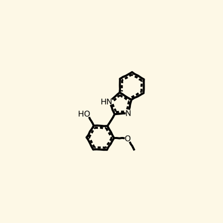 COc1cccc(O)c1-c1nc2ccccc2[nH]1